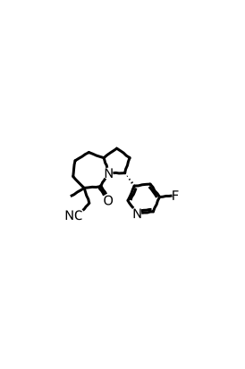 CC1(CC#N)CCCC2CC[C@H](c3cncc(F)c3)N2C1=O